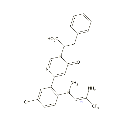 N/C(=C\N(N)c1ccc(Cl)cc1-c1cc(=O)n(C(Cc2ccccc2)C(=O)O)cn1)C(F)(F)F